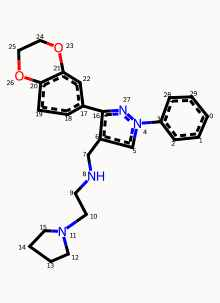 c1ccc(-n2cc(CNCCN3CCCC3)c(-c3ccc4c(c3)OCCO4)n2)cc1